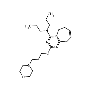 CCCN(CCC)c1nc(OCCCN2CCOCC2)nc2c1CCC=CC2